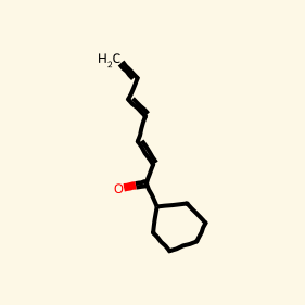 C=CC=CC=CC(=O)C1CCCCC1